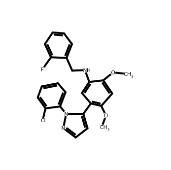 COc1cc(OC)c(-c2ccnn2-c2ccccc2Cl)cc1NCc1ccccc1F